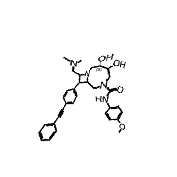 COc1ccc(NC(=O)N2CC(O)[C@@H](O)CN3C(CN(C)C)C(c4ccc(C#Cc5ccccc5)cc4)C3C2)cc1